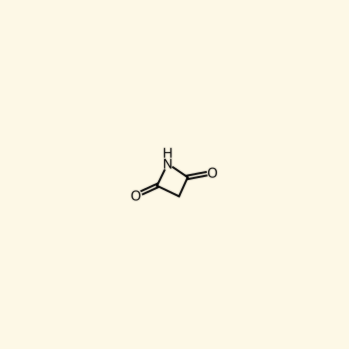 O=C1CC(=O)N1